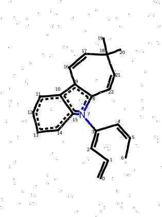 C=C/C=C(\C=C/C)n1c2c(c3ccccc31)C=CC(C)(C)C=C2